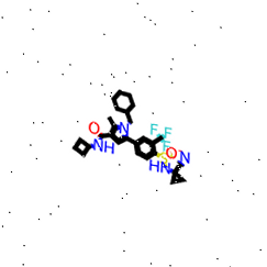 Cc1c(C(=O)NC2CCC2)cc(-c2ccc([S+]([O-])NC3(C#N)CC3)c(C(F)(F)F)c2)n1CC1CCCCC1